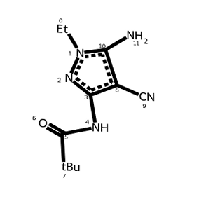 CCn1nc(NC(=O)C(C)(C)C)c(C#N)c1N